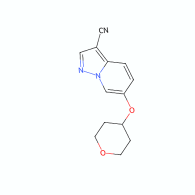 N#Cc1cnn2cc(OC3CCOCC3)ccc12